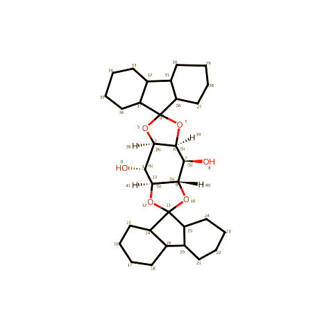 O[C@@H]1[C@H]2OC3(O[C@H]2[C@@H](O)[C@@H]2OC4(O[C@@H]12)C1CCCCC1C1CCCCC14)C1CCCCC1C1CCCCC13